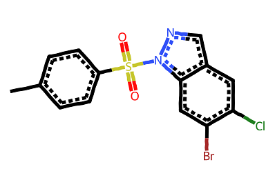 Cc1ccc(S(=O)(=O)n2ncc3cc(Cl)c(Br)cc32)cc1